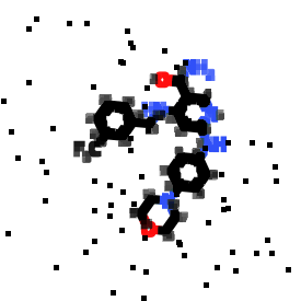 NC(=O)c1cnc(Nc2ccc(N3CCOCC3)cc2)cc1NCc1cccc(C(F)(F)F)c1